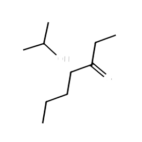 CC(C)O.CCCCC(=O)CC